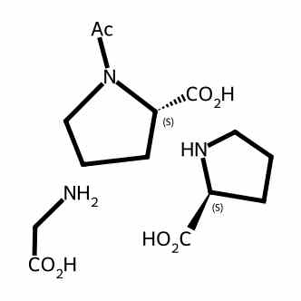 CC(=O)N1CCC[C@H]1C(=O)O.NCC(=O)O.O=C(O)[C@@H]1CCCN1